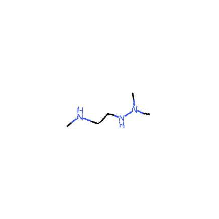 CNCCNN(C)C